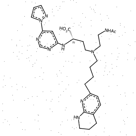 CC(=O)NCCN(CCCCc1ccc2c(n1)NCCC2)CC[C@H](Nc1cc(-n2cccn2)ncn1)C(=O)O